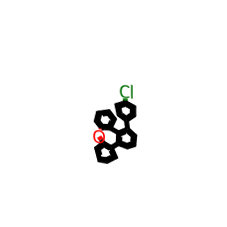 Clc1ccc(-c2cccc3c2-c2ccccc2Oc2ccccc2-3)cc1